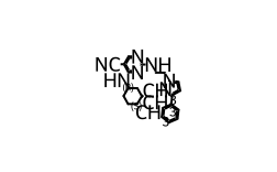 C[C@H]1CC[C@@H](Nc2nc(NCCn3ccc(-c4ccccc4)n3)ncc2C#N)CC1(C)C